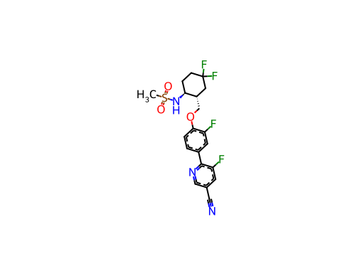 CS(=O)(=O)N[C@H]1CCC(F)(F)C[C@@H]1COc1ccc(-c2ncc(C#N)cc2F)cc1F